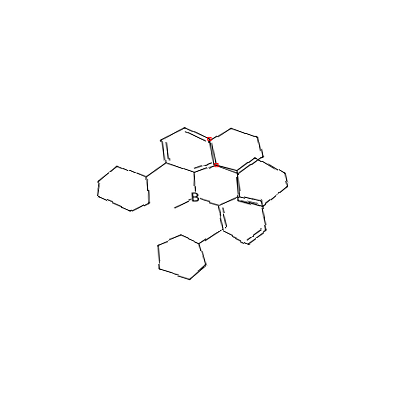 CB(c1c(C2CCCCC2)cccc1C1CCCCC1)c1c(C2CCCCC2)cccc1C1CCCCC1